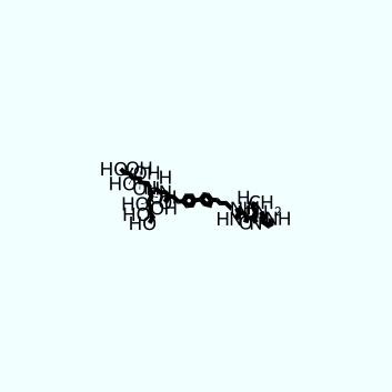 C=Nc1nc2[nH]ccc2nc1C(=O)NC(=N)NCCCCc1ccc(-c2ccc(CCC(=O)NCCN(C[C@H](O)[C@@H](O)[C@H](O)[C@H](O)CO)C[C@H](O)[C@@H](O)[C@H](O)[C@H](O)CO)cc2)cc1